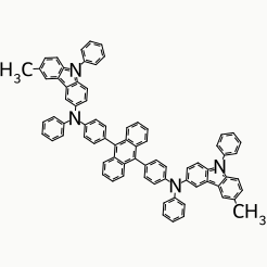 Cc1ccc2c(c1)c1cc(N(c3ccccc3)c3ccc(-c4c5ccccc5c(-c5ccc(N(c6ccccc6)c6ccc7c(c6)c6cc(C)ccc6n7-c6ccccc6)cc5)c5ccccc45)cc3)ccc1n2-c1ccccc1